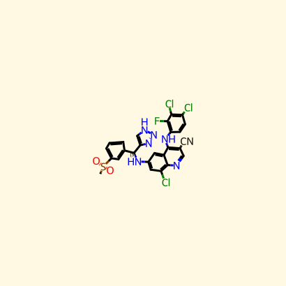 CS(=O)(=O)c1cccc([C@H](Nc2cc(Cl)c3ncc(C#N)c(Nc4ccc(Cl)c(Cl)c4F)c3c2)c2c[nH]nn2)c1